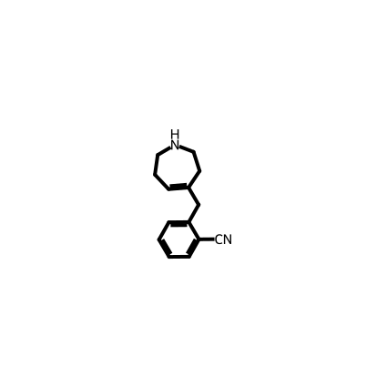 N#Cc1ccccc1CC1=CCCNCC1